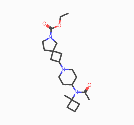 CCOC(=O)N1CCC2(CC(N3CCC(N(C(C)=O)C4(C)CCC4)CC3)C2)C1